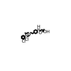 CC1CN(CCC2CCC(NC(=O)CC(C)(C)O)CC2)CCN1c1cccc(Cl)c1Cl